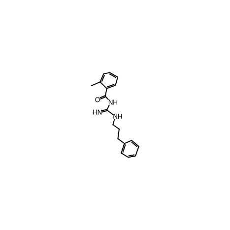 Cc1ccccc1C(=O)NC(=N)NCCCc1ccccc1